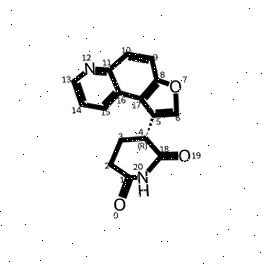 O=C1CC[C@H](c2coc3ccc4ncccc4c23)C(=O)N1